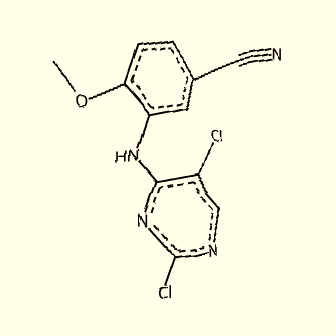 COc1ccc(C#N)cc1Nc1nc(Cl)ncc1Cl